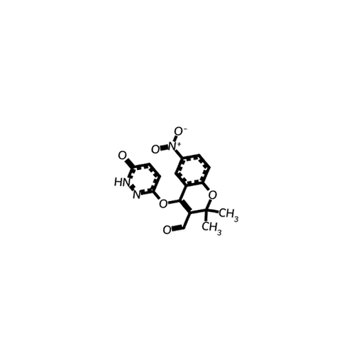 CC1(C)Oc2ccc([N+](=O)[O-])cc2C(Oc2ccc(=O)[nH]n2)=C1C=O